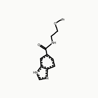 CC(C)OCCNC(=O)c1ccc2nc[nH]c2c1